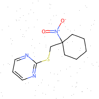 O=[N+]([O-])C1(CSc2ncccn2)CCCCC1